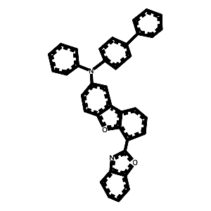 c1ccc(-c2ccc(N(c3ccccc3)c3ccc4oc5c(-c6nc7ccccc7o6)cccc5c4c3)cc2)cc1